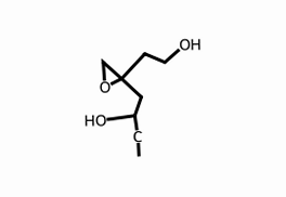 CCC(O)CC1(CCO)CO1